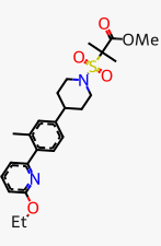 CCOc1cccc(-c2ccc(C3CCN(S(=O)(=O)C(C)(C)C(=O)OC)CC3)cc2C)n1